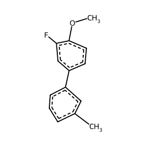 COc1ccc(-c2cccc(C)c2)cc1F